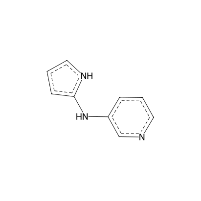 c1cncc(Nc2ccc[nH]2)c1